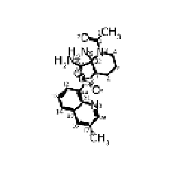 CC(=O)N1CCCC(S(=O)(=O)c2cccc3cc(C)cnc23)C1(N)C(N)=O